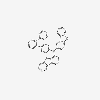 c1ccc(-c2ccccc2-c2ccc(N(c3ccc4oc5ccccc5c4c3)c3cccc4c3sc3ccccc34)cc2)cc1